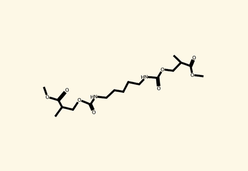 COC(=O)C(C)COC(=O)NCCCCCNC(=O)OCC(C)C(=O)OC